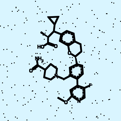 COc1cc(-c2ccc([C@@H]3CCc4ccc(C(C5CC5)[C@H](C)C(=O)O)cc4O3)cc2CN2CCC(C(N)=O)CC2)c(F)cn1